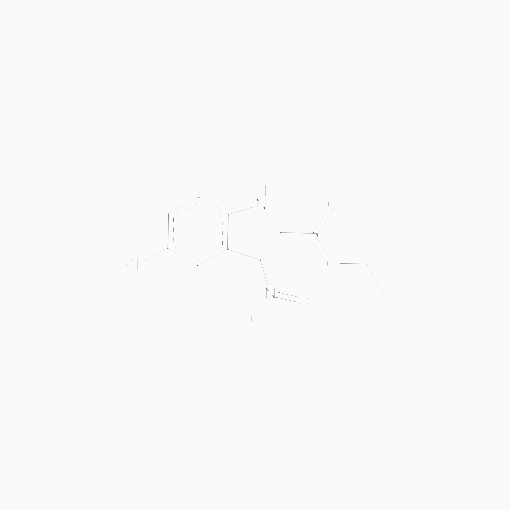 CCOC(=O)C1Nc2ccc(Cl)cc2C1[N+](=O)[O-]